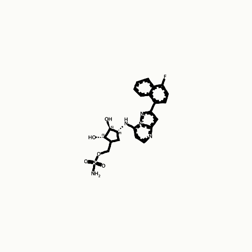 NS(=O)(=O)OCC1C[C@@H](Nc2ccnc3cc(-c4ccc(F)c5ccccc45)nn23)[C@H](O)[C@H]1O